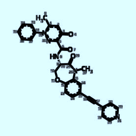 Cc1cc(=O)c(C(=O)N[C@H]2COc3ccc(C#Cc4ccncc4)cc3N(C)C2=O)nn1-c1ccccc1